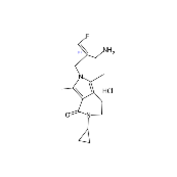 Cc1c2c(c(C)n1C/C(=C/F)CN)C(=O)N(C1CC1)CC2.Cl